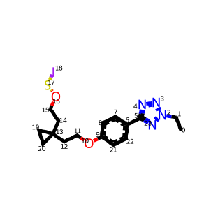 CCn1nnc(-c2ccc(OCCC3(CCOSI)CC3)cc2)n1